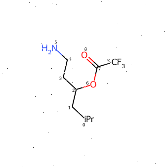 CC(C)CC(CCN)OC(=O)C(F)(F)F